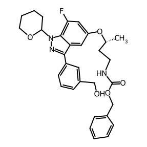 C[C@H](CCNC(=O)OCc1ccccc1)Oc1cc(F)c2c(c1)c(-c1cccc(CO)c1)nn2C1CCCCO1